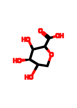 O=C(O)C1OCC(O)[C@@H](O)C1O